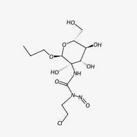 CCCO[C@H]1O[C@H](CO)[C@@H](O)[C@H](O)[C@@]1(O)NC(=O)N(CCCl)N=O